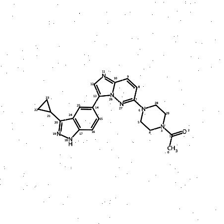 CC(=O)N1CCN(c2ccc3ncc(-c4ccc5[nH]nc(C6CC6)c5c4)n3n2)CC1